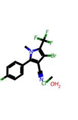 CCl.Cn1c(-c2ccc(F)cc2)c(C#N)c(Br)c1C(F)(F)F.O